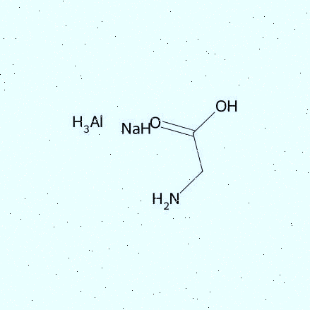 NCC(=O)O.[AlH3].[NaH]